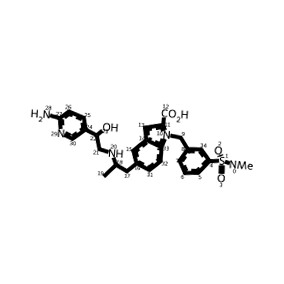 CNS(=O)(=O)c1cccc(Cn2c(C(=O)O)cc3cc(CC(C)NCC(O)c4ccc(N)nc4)ccc32)c1